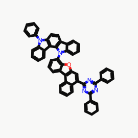 C1=CC(c2nc(-c3ccccc3)nc(-c3cc4oc5c(-n6c7ccccc7c7ccc8c(c9ccccc9n8-c8ccccc8)c76)cccc5c4c4ccccc34)n2)=CCC1